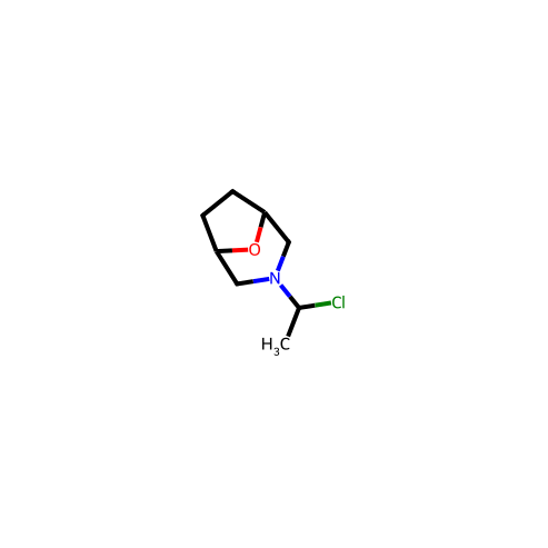 CC(Cl)N1CC2CCC(C1)O2